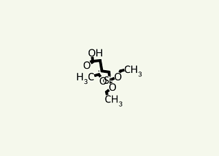 CCO[Si](C[CH]CC(=O)O)(OCC)OCC